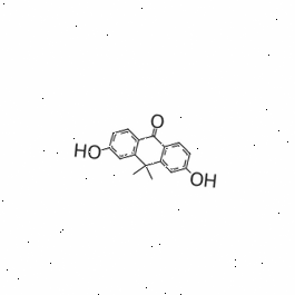 CC1(C)c2cc(O)ccc2C(=O)c2ccc(O)cc21